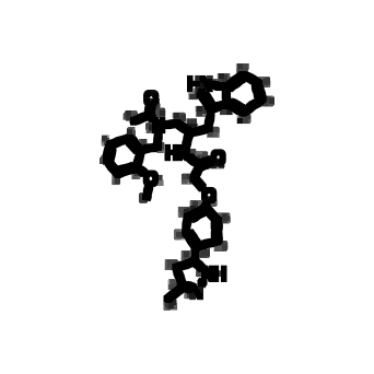 COc1ccccc1CN(CC(Cc1c[nH]c2ccccc12)NC(=O)COc1ccc(C2CC(C)=NN2)cc1)C(C)=O